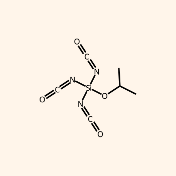 CC(C)O[Si](N=C=O)(N=C=O)N=C=O